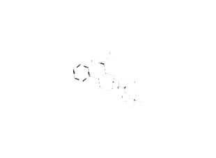 COC(=O)C1CN(C(=O)OC(C)(C)C)CCC1c1ccccc1